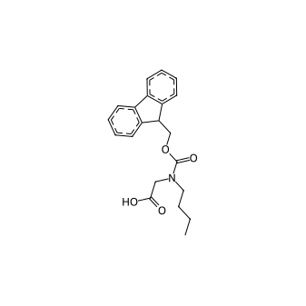 CCCCN(CC(=O)O)C(=O)OCC1c2ccccc2-c2ccccc21